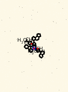 CC(C)(C)c1ccc2c(c1)C1(c3cc(C(C)(C)C)ccc3-2)c2ccccc2-c2cccc(N(c3ccc(-c4cccc5ccccc45)cc3)c3ccc(-c4cccc5c4ccc4ccccc45)cc3)c21